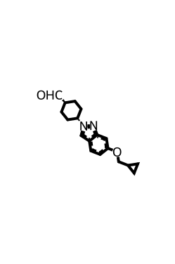 O=C[C@H]1CC[C@H](n2cc3ccc(OCC4CC4)cc3n2)CC1